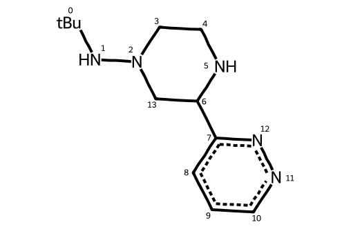 CC(C)(C)NN1CCNC(c2cccnn2)C1